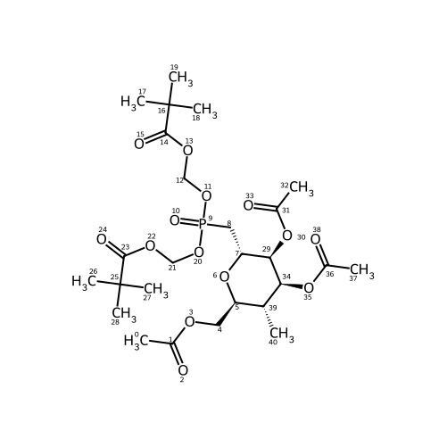 CC(=O)OC[C@H]1O[C@H](CP(=O)(OCOC(=O)C(C)(C)C)OCOC(=O)C(C)(C)C)[C@@H](OC(C)=O)[C@@H](OC(C)=O)[C@@H]1C